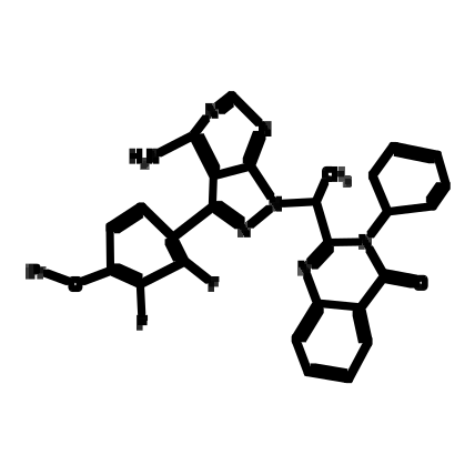 CC(C)Oc1ccc(-c2nn(C(C)c3nc4ccccc4c(=O)n3C3C=CC=CC3)c3ncnc(N)c23)c(F)c1F